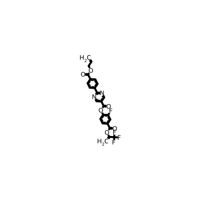 C=CCOC(=O)c1ccc(-c2ncc(C(=O)Oc3ccc(C(=O)OC(=C)C(F)(F)F)cc3F)cn2)cc1